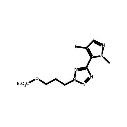 CCOC(=O)OCCCn1nnc(-c2c(I)cnn2C)n1